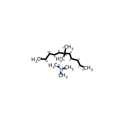 CCCCCC(C)(C)CCCCC.CN(C)C